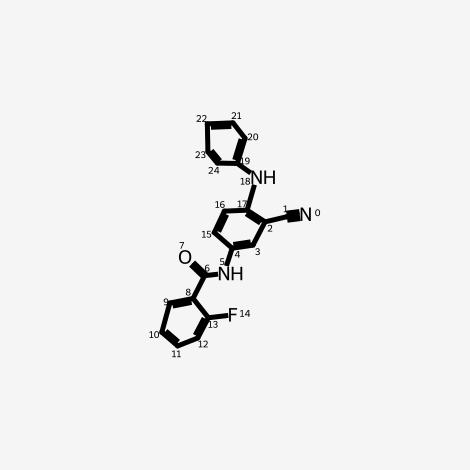 N#Cc1cc(NC(=O)c2ccccc2F)ccc1Nc1ccccc1